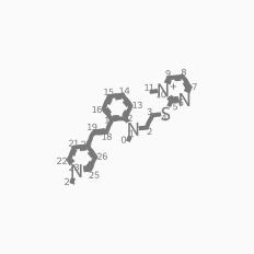 CN(CCSc1nccc[n+]1C)c1ccccc1/C=C/c1cc[n+](C)cc1